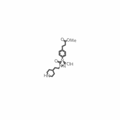 COC(=O)CCc1ccc(-n2cnn(CCC3CCNCC3)c2=O)cc1.Cl